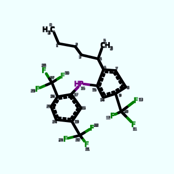 CCCCC(C)c1ccc(C(F)(F)F)cc1Pc1cc(C(F)(F)F)ccc1C(F)(F)F